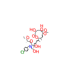 CC[C@H](OC)[C@@H](C)C1OC1C(N(CCO)Cc1ccc(Cl)cc1)C(C)(O)/C=C/C=C(\C)[C@H]1OC(=O)CC(O)CCC(C)(O)[C@@H](OC(C)=O)/C=C/C1C